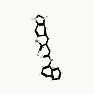 O=C(CC(Cc1ccc2c(c1)OCO2)C(=O)O)Nc1cccc2ccccc12